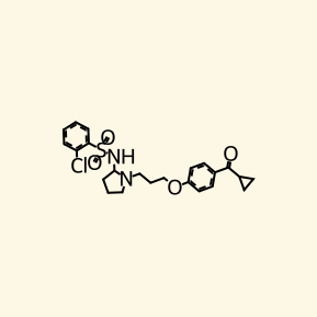 O=C(c1ccc(OCCCN2CCCC2NS(=O)(=O)c2ccccc2Cl)cc1)C1CC1